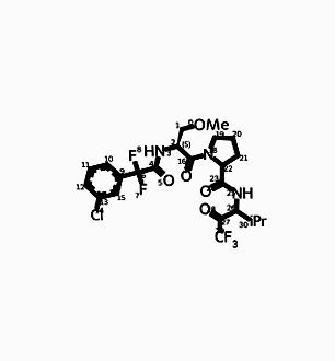 COC[C@H](NC(=O)C(F)(F)c1cccc(Cl)c1)C(=O)N1CCCC1C(=O)NC(C(=O)C(F)(F)F)C(C)C